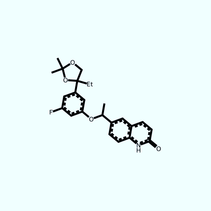 CCC1(c2cc(F)cc(OC(C)c3ccc4[nH]c(=O)ccc4c3)c2)COC(C)(C)O1